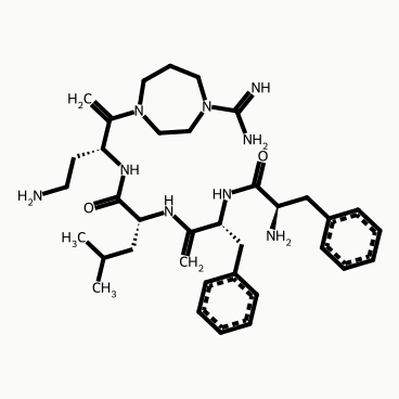 C=C(N[C@H](CC(C)C)C(=O)N[C@H](CCN)C(=C)N1CCCN(C(=N)N)CC1)[C@@H](Cc1ccccc1)NC(=O)[C@H](N)Cc1ccccc1